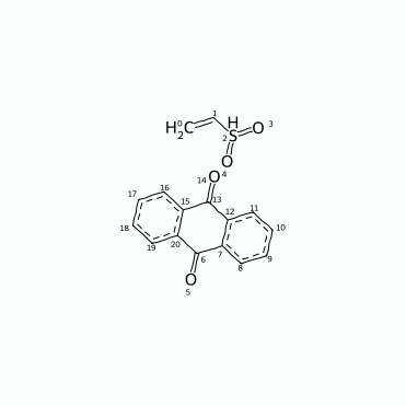 C=C[SH](=O)=O.O=C1c2ccccc2C(=O)c2ccccc21